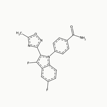 Cc1nc(-c2c(F)c3cc(F)ccc3n2-c2ccc(C(N)=O)cc2)no1